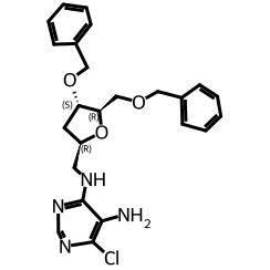 Nc1c(Cl)ncnc1NC[C@H]1C[C@H](OCc2ccccc2)[C@@H](COCc2ccccc2)O1